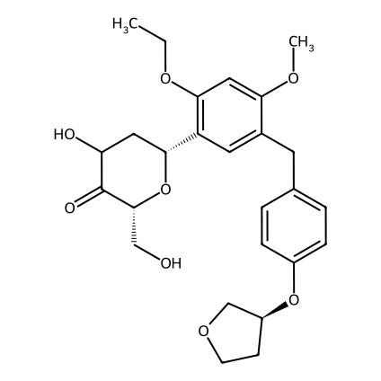 CCOc1cc(OC)c(Cc2ccc(O[C@H]3CCOC3)cc2)cc1[C@H]1CC(O)C(=O)[C@@H](CO)O1